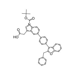 CC(C)(C)OC(=O)n1cc(CC(=O)O)c2cc(-c3ccc(-c4c(Cc5ccccc5)oc5ccccc45)cc3)ccc21